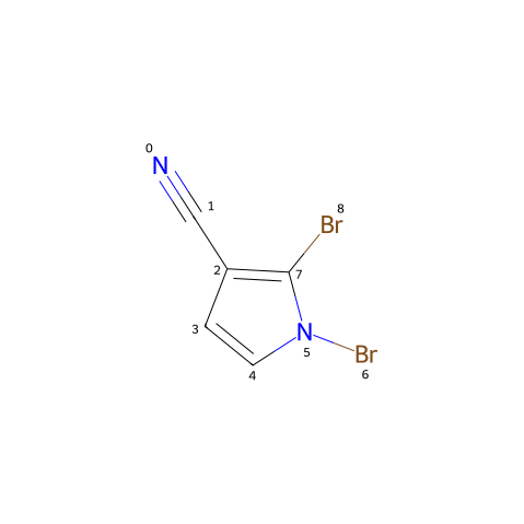 N#Cc1ccn(Br)c1Br